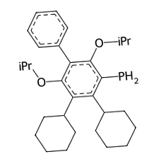 CC(C)Oc1c(P)c(C2CCCCC2)c(C2CCCCC2)c(OC(C)C)c1-c1ccccc1